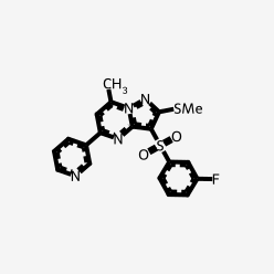 CSc1nn2c(C)cc(-c3cccnc3)nc2c1S(=O)(=O)c1cccc(F)c1